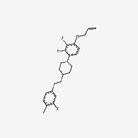 C=CCOc1ccc(C2CCC(CCc3ccc(C)c(F)c3)CC2)c(F)c1F